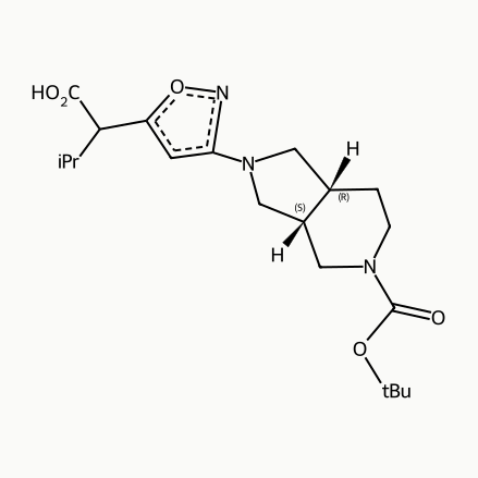 CC(C)C(C(=O)O)c1cc(N2C[C@H]3CN(C(=O)OC(C)(C)C)CC[C@H]3C2)no1